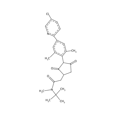 Cc1cc(-c2ccc(Cl)cn2)cc(C)c1C1C(=O)CC(CC(=O)N(C)C(C)(C)C)C1=O